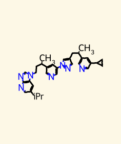 CC(C)c1cnc2ncn(CC[C@@H](C)c3cncc(-n4cc(C[C@@H](C)c5cncc(C6CC6)c5)cn4)c3)c2c1